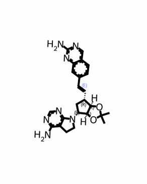 CC1(C)O[C@@H]2[C@H](O1)[C@@H](/C=C/c1ccc3cnc(N)nc3c1)C[C@H]2N1CCc2c(N)ncnc21